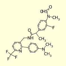 CC(C(=O)NCc1ccc(C(F)(F)F)nc1-c1ccc(N(C)C)cc1)c1ccc(N(C)[SH](=O)=O)c(F)c1